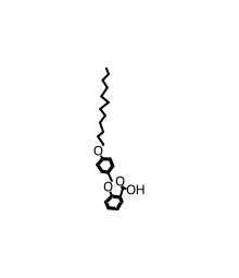 CCCCCCCCCCCCOc1ccc(COc2ccccc2C(=O)O)cc1